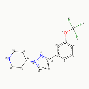 FC(F)(F)Oc1cccc(-c2ccn(C3CC[N]CC3)n2)c1